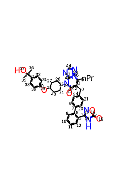 CCCc1c(Cc2ccc(-c3ccccc3-c3noc(=O)[nH]3)cc2)c(=O)n([C@H]2CC[C@@H](Oc3ccc(C(C)(C)O)cc3)CC2)c2ncnn12